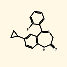 O=C1CN=C(c2ccccc2F)c2cc(C3CC3)ccc2N1